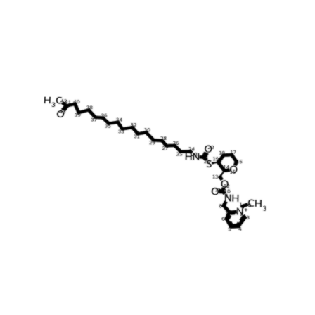 CC[n+]1ccccc1CNC(=O)OC[C@@H]1OCCC[C@@H]1SC(=O)NCCCCCCCCCCCCCCCCCC(C)=O